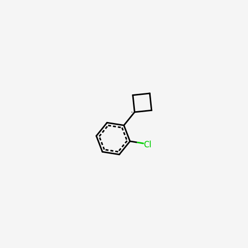 Clc1ccccc1[C]1CCC1